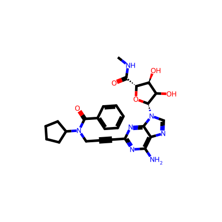 CNC(=O)[C@H]1O[C@@H](n2cnc3c(N)nc(C#CCN(C(=O)c4ccccc4)C4CCCC4)nc32)C(O)[C@@H]1O